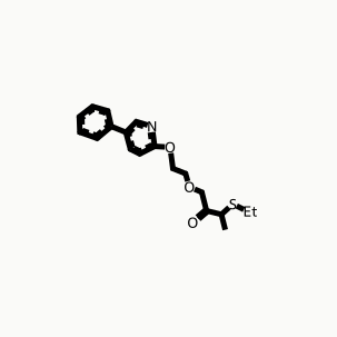 CCSC(C)C(=O)COCCOc1ccc(-c2ccccc2)cn1